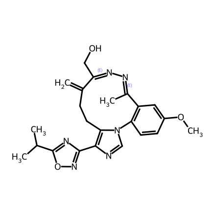 C=C1CCc2c(-c3noc(C(C)C)n3)ncn2-c2ccc(OC)cc2/C(C)=N/N=C\1CO